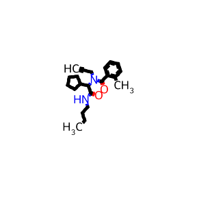 C#CCN(C(=O)c1ccccc1C)C(C(=O)NCCCC)C1CCCC1